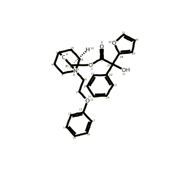 O=C(O[C@@H]1CC2CC[N+]1(CCOc1ccccc1)CC2)C(O)(c1ccccc1)c1ccco1